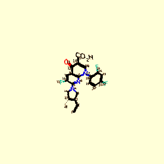 C=CC1CN(c2nc3c(cc2F)c(=O)c(C(=O)O)cn3-c2ccc(F)cc2F)C[C@H]1C